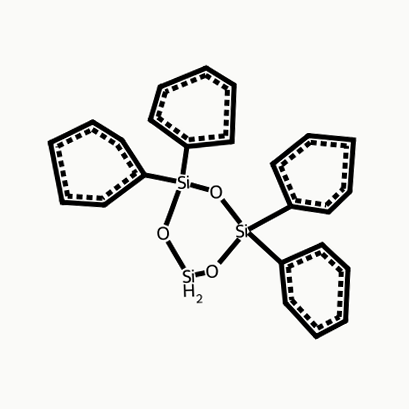 c1ccc([Si]2(c3ccccc3)O[SiH2]O[Si](c3ccccc3)(c3ccccc3)O2)cc1